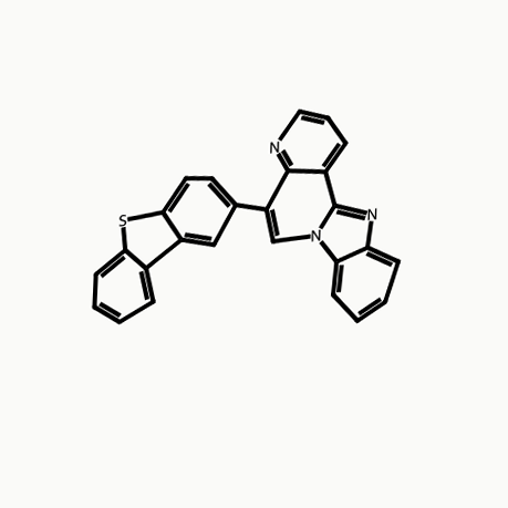 c1ccc2c(c1)nc1c3cccnc3c(-c3ccc4sc5ccccc5c4c3)cn21